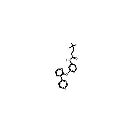 CC(C)(C)CCC(=O)Nc1cccc(Oc2ncccc2-c2ccncn2)c1